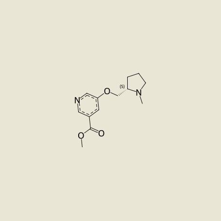 COC(=O)c1cncc(OC[C@@H]2CCCN2C)c1